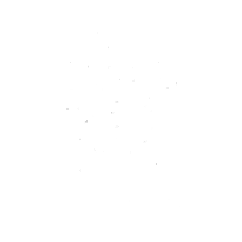 Cc1ccc(S(=O)(=O)Oc2ccc(C(C)(C)C)cc2)c(-c2ccc(C(C)(C)C)cc2)c1